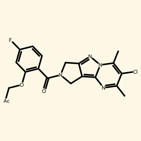 CC(=O)COc1cc(F)ccc1C(=O)N1Cc2nn3c(C)c(Cl)c(C)nc3c2C1